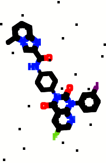 Cc1cccc2nc(C(=O)N[C@H]3CC[C@@H](n4c(=O)c5cc(F)cnc5n(-c5cccc(I)c5)c4=O)CC3)cn12